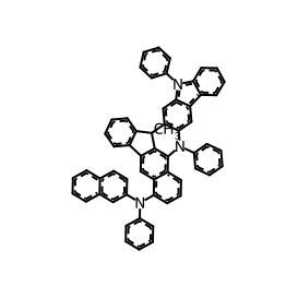 CC12c3ccccc3-c3cc4c(N(c5ccccc5)c5ccc6ccccc6c5)cccc4c(c31)N(c1ccccc1)c1cc3c4ccccc4n(-c4ccccc4)c3cc12